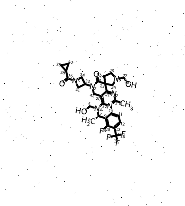 Cc1nc(N(CO)[C@H](C)c2cccc(C(F)(F)F)c2F)c2c(n1)C1(CCN(CO)C1)C(=O)N(C1CN(C(=O)C3CC3)C1)C2